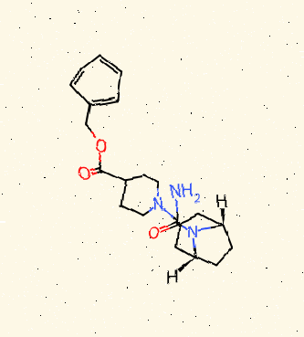 NC(=O)N1[C@@H]2CC[C@H]1CC(N1CCC(C(=O)OCc3ccccc3)CC1)C2